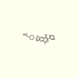 COc1cc2nc([C@H]3CC[C@H](CO)CC3)oc2cc1NC(=O)c1cnccn1